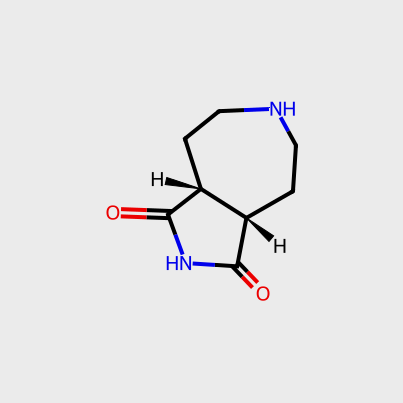 O=C1NC(=O)[C@@H]2CCNCC[C@H]12